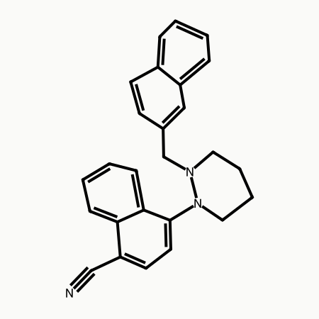 N#Cc1ccc(N2CCCCN2Cc2ccc3ccccc3c2)c2ccccc12